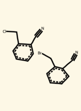 N#Cc1ccccc1CBr.N#Cc1ccccc1CCl